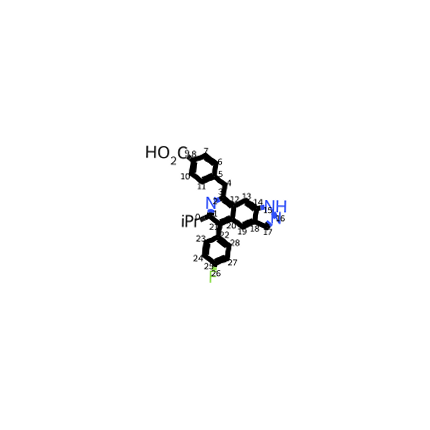 CC(C)c1nc(Cc2ccc(C(=O)O)cc2)c2cc3[nH]ncc3cc2c1-c1ccc(F)cc1